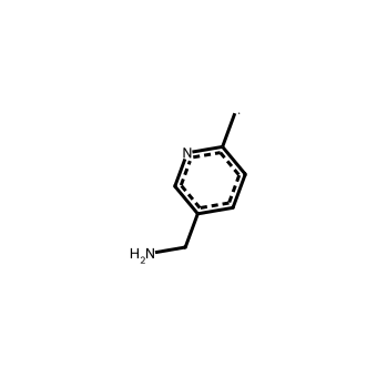 [CH2]c1ccc(CN)cn1